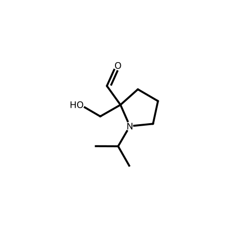 CC(C)N1CCCC1(C=O)CO